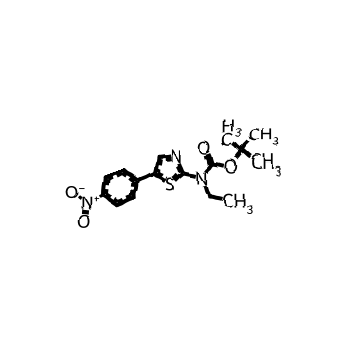 CCN(C(=O)OC(C)(C)C)c1ncc(-c2ccc([N+](=O)[O-])cc2)s1